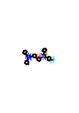 FC(F)(F)c1ccc(-c2nc(-c3cccc4c3oc3ccc(-c5nc(-c6ccccc6)nc(-c6ccccc6)n5)cc34)nc3c2sc2ccccc23)cc1